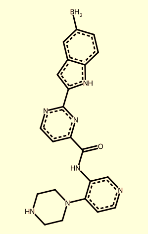 Bc1ccc2[nH]c(-c3nccc(C(=O)Nc4cnccc4N4CCNCC4)n3)cc2c1